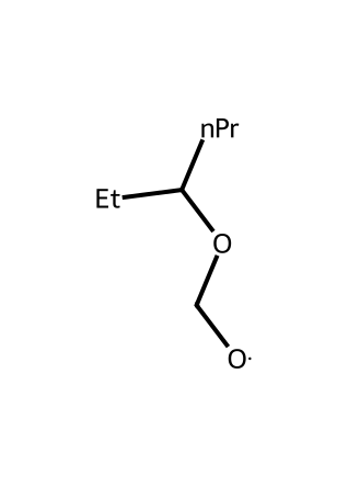 CCCC(CC)OC[O]